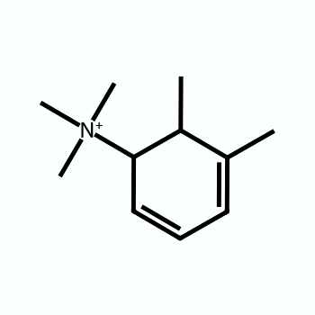 CC1=CC=CC([N+](C)(C)C)C1C